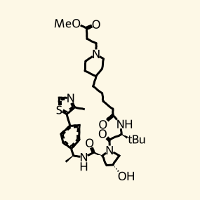 COC(=O)CCN1CCC(CCCCC(=O)N[C@H](C(=O)N2C[C@H](O)C[C@H]2C(=O)N[C@@H](C)c2ccc(-c3scnc3C)cc2)C(C)(C)C)CC1